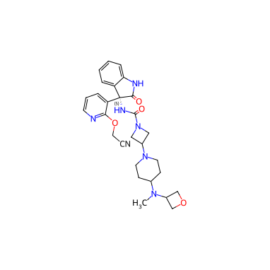 CN(C1CCN(C2CN(C(=O)N[C@@]3(c4cccnc4OCC#N)C(=O)Nc4ccccc43)C2)CC1)C1COC1